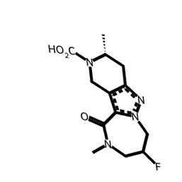 C[C@@H]1Cc2nn3c(c2CN1C(=O)O)C(=O)N(C)CC(F)C3